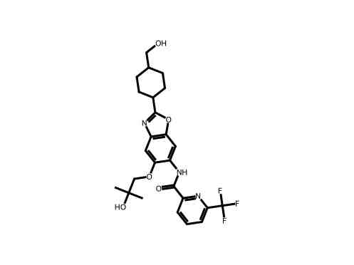 CC(C)(O)COc1cc2nc(C3CCC(CO)CC3)oc2cc1NC(=O)c1cccc(C(F)(F)F)n1